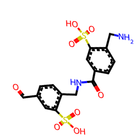 NCc1ccc(C(=O)NCc2ccc(C=O)cc2S(=O)(=O)O)cc1S(=O)(=O)O